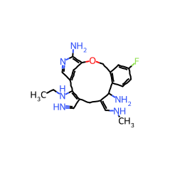 CCN/C1=C(\C=N)C/C(=C/NC)C(N)c2ccc(F)cc2COc2cc1cnc2N